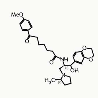 COc1ccc(C(=O)CCCCCC(=O)N[C@H](CN2CCC[C@H]2C)C(O)c2ccc3c(c2)OCCO3)cc1